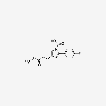 COC(=O)CCc1cc(-c2ccc(F)cc2)n(C(=O)O)c1